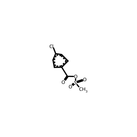 CS(=O)(=O)OC(=O)c1ccc(Cl)cc1